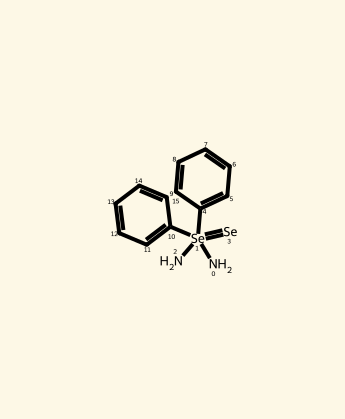 N[Se](N)(=[Se])(c1ccccc1)c1ccccc1